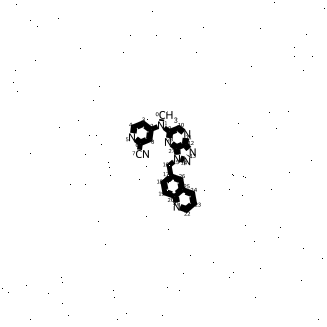 CN(c1ccnc(C#N)c1)c1cnc2nnn(Cc3ccc4ncccc4c3)c2n1